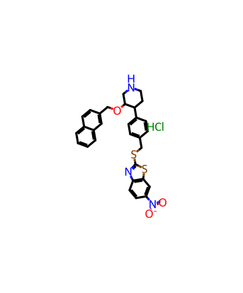 Cl.O=[N+]([O-])c1ccc2nc(SCc3ccc(C4CCNCC4OCc4ccc5ccccc5c4)cc3)sc2c1